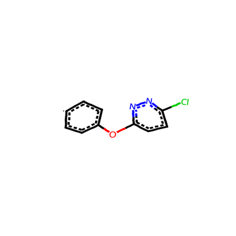 Clc1ccc(Oc2cc[c]cc2)nn1